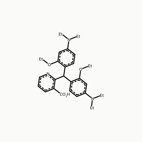 CCOc1cc(N(CC)CC)ccc1C(c1ccc(N(CC)CC)cc1OCC)c1ncccc1C(=O)O